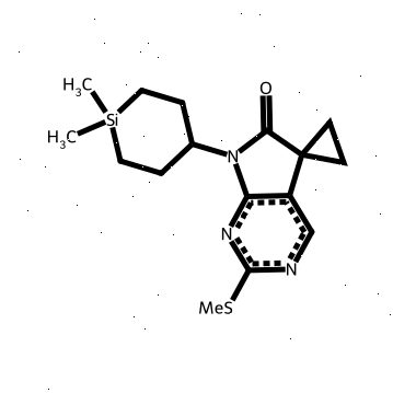 CSc1ncc2c(n1)N(C1CC[Si](C)(C)CC1)C(=O)C21CC1